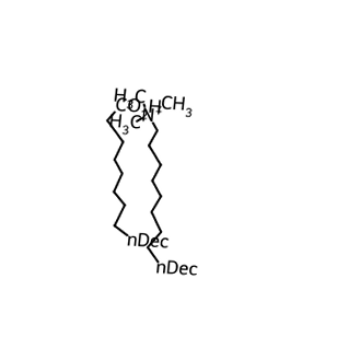 CCCCCCCCCCCCCCCCCC(=O)O.CCCCCCCCCCCCCCCCCC[N+](C)(C)C